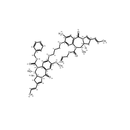 C=CCOC(=O)N1c2cc(OCCCOc3cc4c(cc3OC)C(=O)N3C=C(/C=C/C)C[C@H]3[C@H](O)N4C(=O)OCc3ccccc3)c(C)cc2C(=O)N2C=C(/C=C/C)C[C@H]2[C@@H]1O